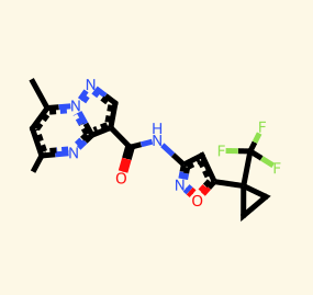 Cc1cc(C)n2ncc(C(=O)Nc3cc(C4(C(F)(F)F)CC4)on3)c2n1